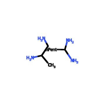 CC(N)CN.CCCCCC(N)N